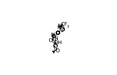 O=C(C1CC1)N1CCC(O)(Cn2cnc3c(cnn3-c3ccc(N4CCCn5c4nnc5C(F)(F)F)cc3)c2=O)CC1